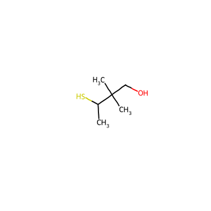 CC(S)C(C)(C)CO